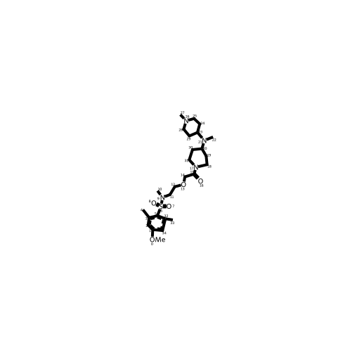 COc1cc(C)c(S(=O)(=O)N(C)CCOCC(=O)N2CCC(N(C)C3CCN(C)CC3)CC2)c(C)c1